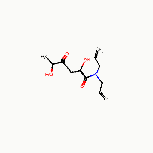 C=CCN(CC=C)C(=O)C(O)CC(=O)C(C)O